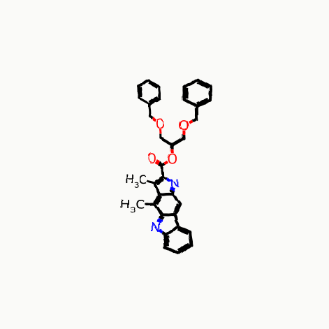 CC1=C(C(=O)OC(COCc2ccccc2)COCc2ccccc2)N=c2cc3c(c(C)c21)=Nc1ccccc1-3